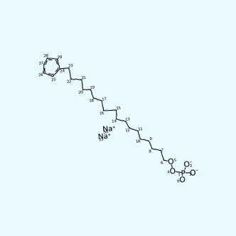 O=P([O-])([O-])OOCCCCCCCCCCCCCCCCCCc1ccccc1.[Na+].[Na+]